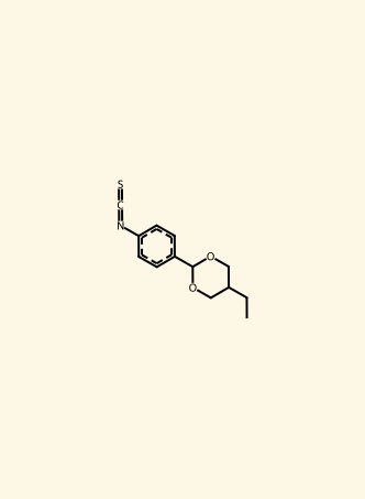 CCC1COC(c2ccc(N=C=S)cc2)OC1